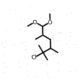 COC(OC)C(C)CC(C)C(C)(C)Cl